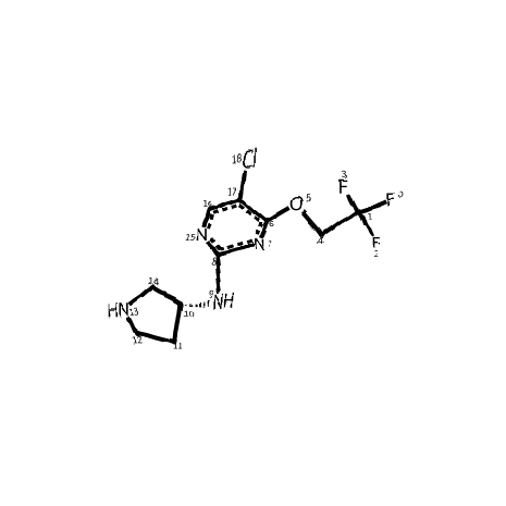 FC(F)(F)COc1nc(N[C@@H]2CCNC2)ncc1Cl